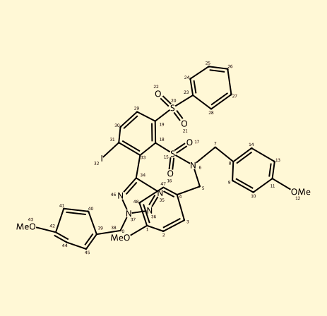 COc1ccc(CN(Cc2ccc(OC)cc2)S(=O)(=O)c2c(S(=O)(=O)c3ccccc3)ccc(I)c2-c2nnn(Cc3ccc(OC)cc3)n2)cc1